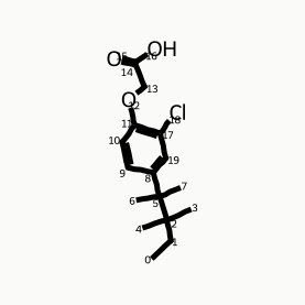 CCC(C)(C)C(C)(C)c1ccc(OCC(=O)O)c(Cl)c1